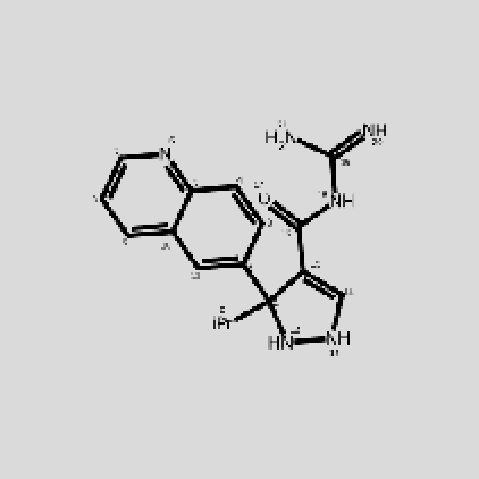 CC(C)C1(c2ccc3ncccc3c2)NNC=C1C(=O)NC(=N)N